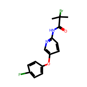 CC(C)(Br)C(=O)Nc1ccc(Oc2ccc(F)cc2)cn1